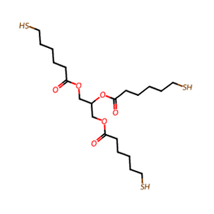 O=C(CCCCCS)OCC(COC(=O)CCCCCS)OC(=O)CCCCCS